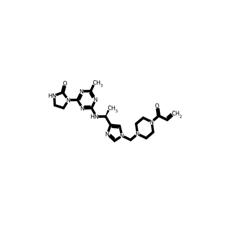 C=CC(=O)N1CCN(Cn2cnc([C@H](C)Nc3nc(C)nc(N4CCNC4=O)n3)c2)CC1